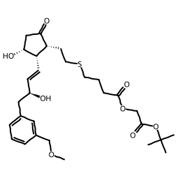 COCc1cccc(C[C@H](O)/C=C/[C@@H]2[C@H](O)CC(=O)[C@@H]2CCSCCCC(=O)OCC(=O)OC(C)(C)C)c1